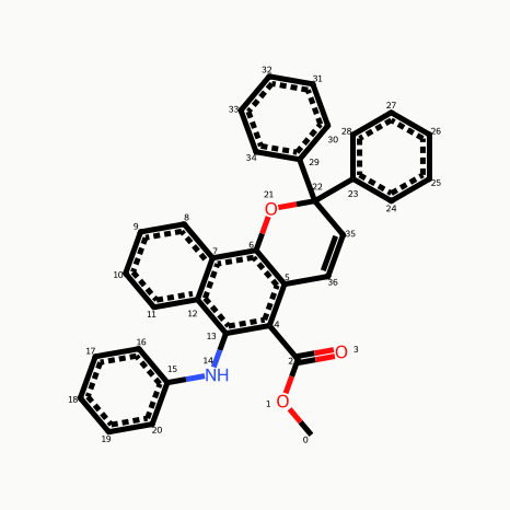 COC(=O)c1c2c(c3ccccc3c1Nc1ccccc1)OC(c1ccccc1)(c1ccccc1)C=C2